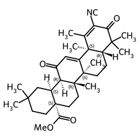 [C-]#[N+]C1=C(C)[C@]2(C)C3=CC(=O)[C@@H]4[C@@H]5CC(C)(C)CC[C@]5(C(=O)OC)CC[C@@]4(C)[C@]3(C)CC[C@H]2C(C)(C)C1=O